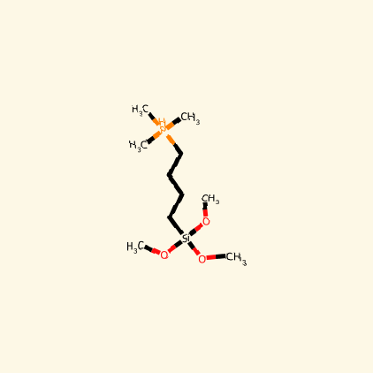 CO[Si](CCCC[PH](C)(C)C)(OC)OC